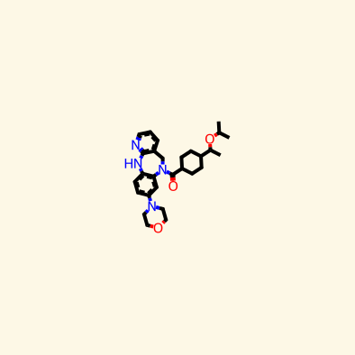 CC(C)OC(C)C1CCC(C(=O)N2Cc3cccnc3Nc3ccc(N4CCOCC4)cc32)CC1